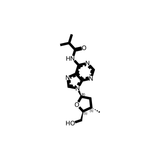 CC(C)C(=O)Nc1ncnc2c1ncn2[C@H]1C[C@H](C)[C@@H](CO)O1